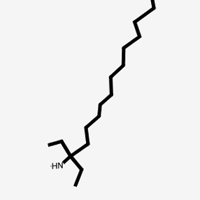 CCCCCCCCCCCCC([NH])(CC)CC